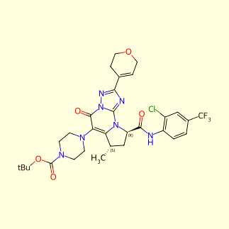 C[C@H]1C[C@H](C(=O)Nc2ccc(C(F)(F)F)cc2Cl)n2c1c(N1CCN(C(=O)OC(C)(C)C)CC1)c(=O)n1nc(C3=CCOCC3)nc21